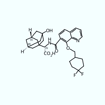 O=C(N[C@H](C(=O)O)C12C[C@@H]3C[C@@H](CC(O)(C3)C1)C2)c1ccc2cccnc2c1OCC1CCC(F)(F)CC1